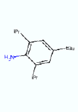 CC(C)c1cc(C(C)(C)C)cc(C(C)C)c1N